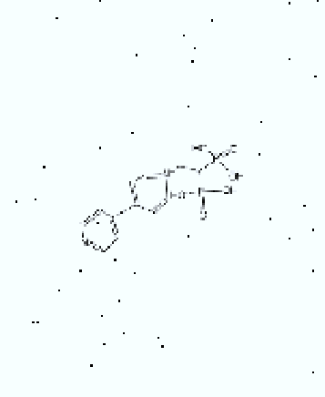 O=P(O)(O)C(C[n+]1ccc(-c2ccncc2)cc1)P(=O)(O)O